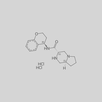 Cl.Cl.O=C(N[C@@H]1CCOc2ccccc21)[C@@H]1CN2CCC[C@H]2CN1